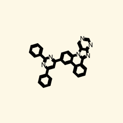 c1ccc(-c2cc(-c3ccc4c(c3)c3ccccc3c3nc5ncncc5n43)nc(-c3ccccc3)n2)cc1